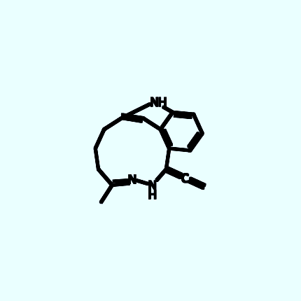 C=C=C1N/N=C(\C)CCCc2cc3c1cccc3[nH]2